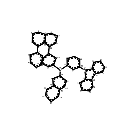 c1ccc(-c2cccc3cccc(-c4cccc(N(c5cccc(-n6c7ccccc7c7ccccc76)c5)c5ccc6ccccc6c5)c4)c23)cc1